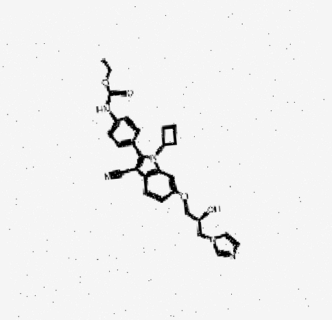 CCOC(=O)Nc1ccc(-c2c(C#N)c3ccc(OCC(O)Cn4ccnc4)cc3n2C2CCC2)cc1